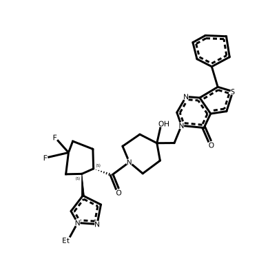 CCn1cc([C@H]2CC(F)(F)CC[C@@H]2C(=O)N2CCC(O)(Cn3cnc4c(-c5ccccc5)scc4c3=O)CC2)cn1